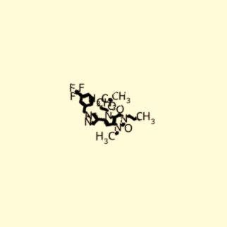 CCCn1c(=O)c2c(cc(-c3cnn(Cc4cccc(C(F)(F)F)c4)c3)n2C(CC)OC(C)C)n(CC)c1=O